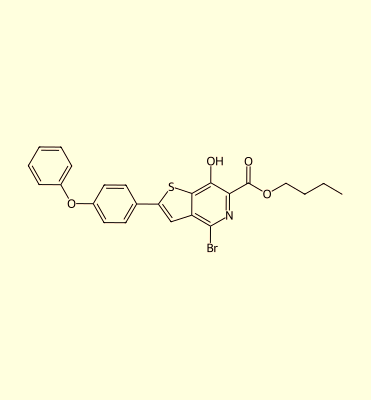 CCCCOC(=O)c1nc(Br)c2cc(-c3ccc(Oc4ccccc4)cc3)sc2c1O